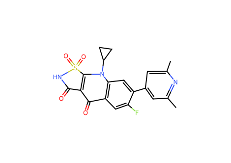 Cc1cc(-c2cc3c(cc2F)c(=O)c2c(n3C3CC3)S(=O)(=O)NC2=O)cc(C)n1